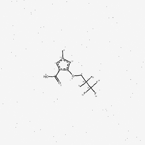 Cn1cc(C(=O)O)c(OCC(C)(C)C(F)(F)F)n1